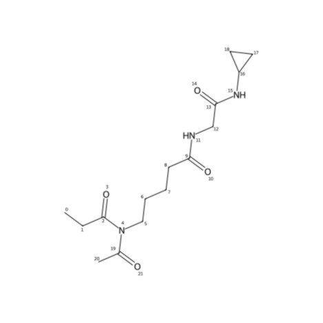 CCC(=O)N(CCCCC(=O)NCC(=O)NC1CC1)C(C)=O